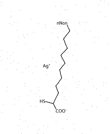 CCCCCCCCCCCCCCCCCCC(S)C(=O)[O-].[Ag+]